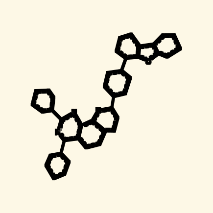 c1ccc(-c2nc(-c3ccccc3)c3ccc4ccc(-c5ccc(-c6cccc7c6oc6ccccc67)cc5)nc4c3n2)cc1